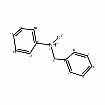 [O-][NH+](Cc1ccccc1)c1ccccc1